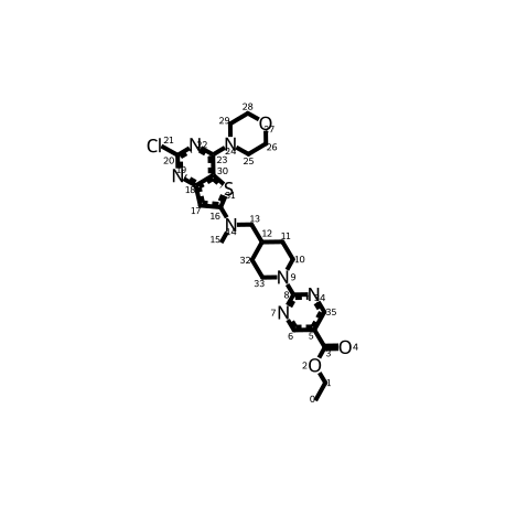 CCOC(=O)c1cnc(N2CCC(CN(C)c3cc4nc(Cl)nc(N5CCOCC5)c4s3)CC2)nc1